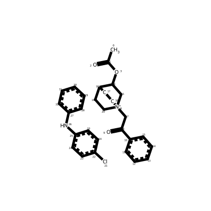 CC(=O)OC1C[N+]2(CC(=O)c3ccccc3)CCC1CC2.Clc1ccc(Nc2ccccc2)cc1